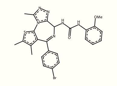 COc1ccccc1NC(=O)NC1N=C(c2ccc(Br)cc2)c2c(sc(C)c2C)-n2c(C)nnc21